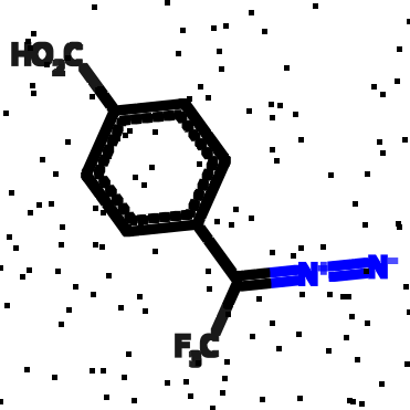 [N-]=[N+]=C(c1ccc(C(=O)O)cc1)C(F)(F)F